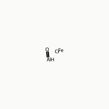 [Cr].[Fe].[O]=[AlH]